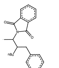 [CH2]C(C(CCCC)Cc1ccccc1)N1C(=O)c2ccccc2C1=O